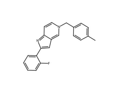 Cc1ccc(Cn2ccc3nc(-c4ccccc4F)cc-3c2)cc1